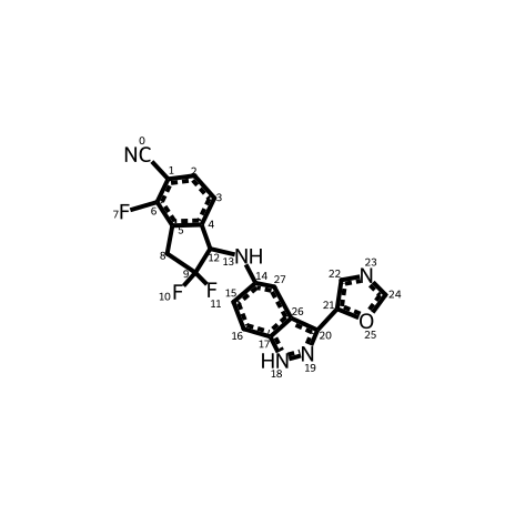 N#Cc1ccc2c(c1F)CC(F)(F)C2Nc1ccc2[nH]nc(-c3cnco3)c2c1